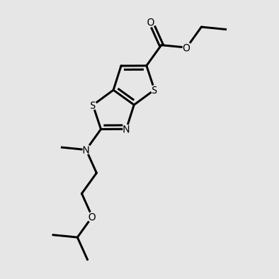 CCOC(=O)c1cc2sc(N(C)CCOC(C)C)nc2s1